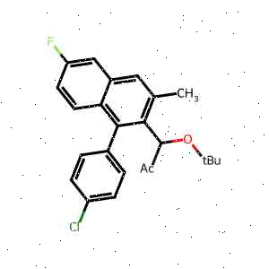 CC(=O)C(OC(C)(C)C)c1c(C)cc2cc(F)ccc2c1-c1ccc(Cl)cc1